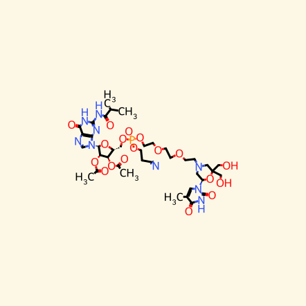 CC(=O)O[C@@H]1[C@H](OC(C)=O)[C@@H](COP(=O)(OCCC#N)OCCOCCOCCN2C[C@H](n3cc(C)c(=O)[nH]c3=O)OC(CO)(CO)C2)O[C@H]1n1cnc2c(=O)[nH]c(NC(=O)C(C)C)nc21